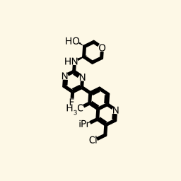 Cc1c(-c2nc(N[C@@H]3CCOC[C@H]3O)ncc2F)ccc2ncc(CCl)c(C(C)C)c12